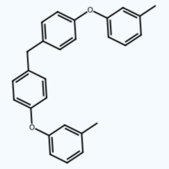 Cc1cccc(Oc2ccc(Cc3ccc(Oc4cccc(C)c4)cc3)cc2)c1